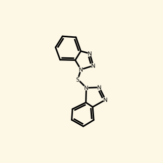 c1ccc2c(c1)nnn2Sn1nnc2ccccc21